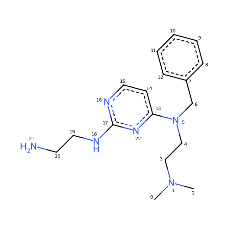 CN(C)CCN(Cc1ccccc1)c1ccnc(NCCN)n1